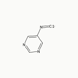 c1ncc(N=[C:1])cn1